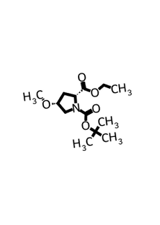 CCOC(=O)[C@H]1C[C@@H](OC)CN1C(=O)OC(C)(C)C